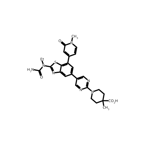 CCN(C(N)=O)c1nc2cc(-c3cnc(N4CCC(C)(C(=O)O)CC4)nc3)cc(-c3ccn(C)c(=O)c3)c2s1